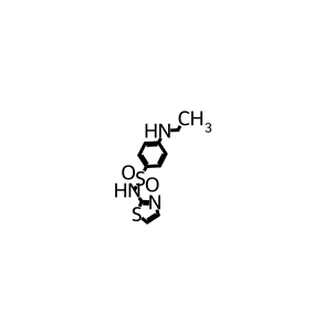 CCNc1ccc(S(=O)(=O)Nc2nccs2)cc1